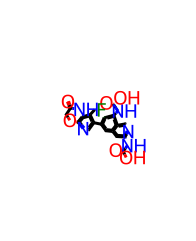 Cc1c(-c2cc3cc(NC(=O)O)ncc3c(NC(=O)O)c2F)cnc2c1NC(=O)CO2